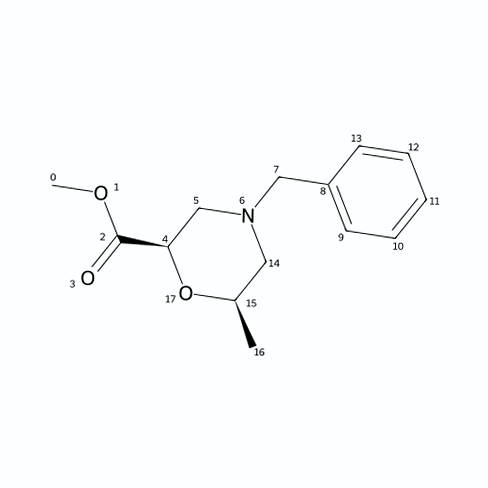 COC(=O)[C@H]1CN(Cc2ccccc2)C[C@@H](C)O1